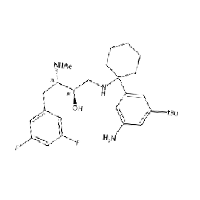 CC(=O)N[C@@H](Cc1cc(F)cc(F)c1)[C@H](O)CNC1(c2cc(N)cc(C(C)(C)C)c2)CCCCC1